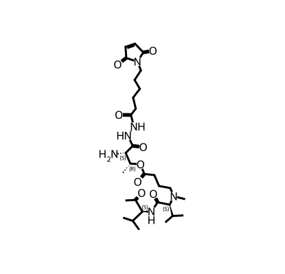 CC(=O)[C@@H](NC(=O)[C@H](C(C)C)N(C)CCCC(=O)O[C@H](C)[C@H](N)C(=O)NNC(=O)CCCCCN1C(=O)C=CC1=O)C(C)C